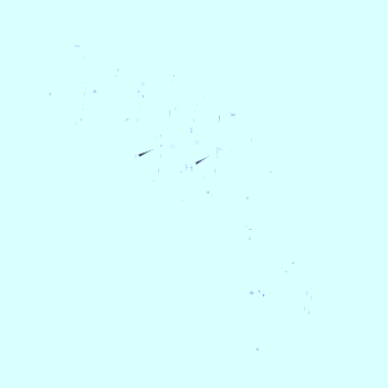 Cc1ccn(CC(=O)[C@H]2CC[C@H]3[C@@H]4CCN5C[C@](C)(O)CC[C@@H]5[C@H]4CC[C@]23C)n1